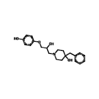 Oc1ccc(OCC(O)CN2CCC(O)(Cc3ccccc3)CC2)cc1